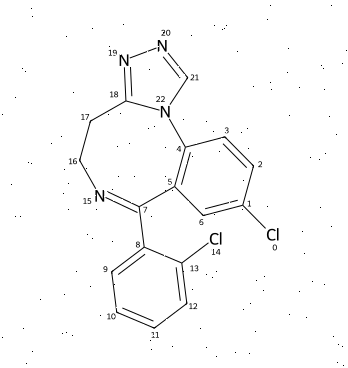 Clc1ccc2c(c1)/C(c1ccccc1Cl)=N\CCc1nncn1-2